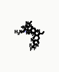 CCc1nc2ccc(C(N)(/C(=C/N)NC)c3cnc(C)n3C)cc2c(C#N)c1Cc1ccc(C(F)(F)F)nc1